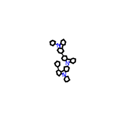 c1ccc(-c2cccc3c2c2cc(-n4c5ccccc5c5cc(-c6ccc7c(c6)c6ccccc6n7-c6ccccc6)ccc54)ccc2n3-c2ccccc2)cc1